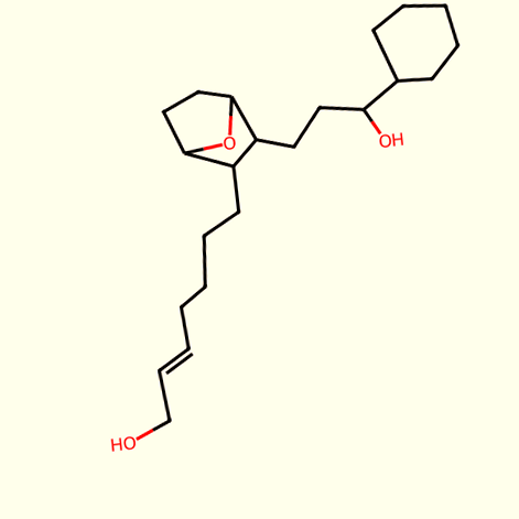 OCC=CCCCCC1C2CCC(O2)C1CCC(O)C1CCCCC1